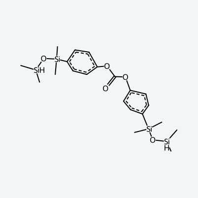 C[SiH](C)O[Si](C)(C)c1ccc(OC(=O)Oc2ccc([Si](C)(C)O[SiH](C)C)cc2)cc1